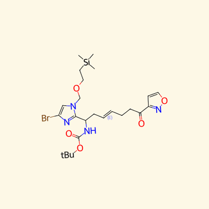 CC(C)(C)OC(=O)NC(C/C=C/CCC(=O)c1ccon1)c1nc(Br)cn1COCC[Si](C)(C)C